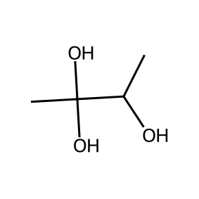 CC(O)C(C)(O)O